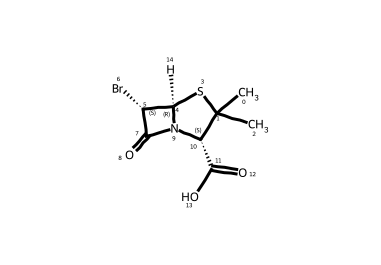 CC1(C)S[C@@H]2[C@@H](Br)C(=O)N2[C@H]1C(=O)O